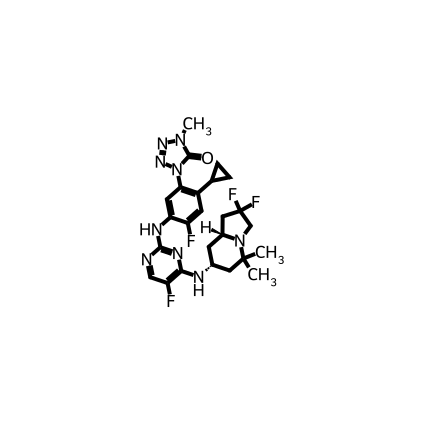 Cn1nnn(-c2cc(Nc3ncc(F)c(N[C@@H]4C[C@@H]5CC(F)(F)CN5C(C)(C)C4)n3)c(F)cc2C2CC2)c1=O